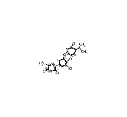 Cc1nn(-c2cc(Cl)c(Oc3cc(C(C)C)c(Cl)nn3)c(Cl)c2)c(=O)[nH]c1=O